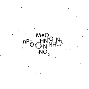 CCCOc1ccc(/N=C(/NCc2ccccn2)NC(=O)OC)c([N+](=O)[O-])c1